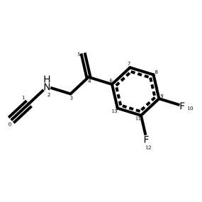 C#CNCC(=C)c1ccc(F)c(F)c1